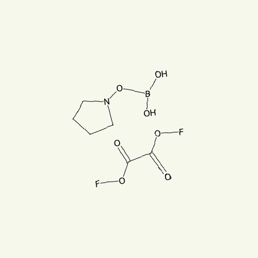 O=C(OF)C(=O)OF.OB(O)ON1CCCC1